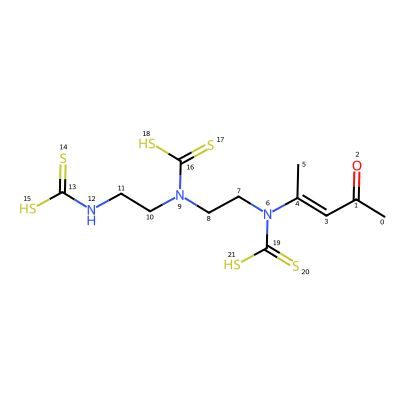 CC(=O)/C=C(\C)N(CCN(CCNC(=S)S)C(=S)S)C(=S)S